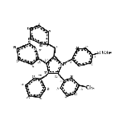 COc1ccc(-n2c(Cc3ccccc3)c(-c3ccccn3)c(-c3ccccc3)c2-c2cccc(Cl)c2)cc1